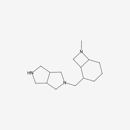 CN1CC2C(CN3CC4CNCC4C3)CCCC21